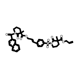 C=CCOC(=O)C1(C)CCCN(S(=O)(=O)c2ccc(/C=C/COC(=O)C3(C)CCCN(C(=O)c4ccc5ccccc5c4)C3=O)cc2)C1=O